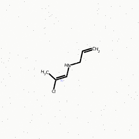 C=CCN/C=C(\C)Cl